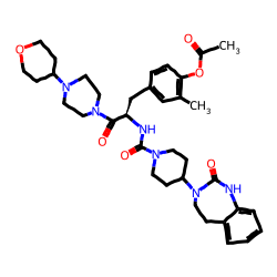 CC(=O)Oc1ccc(C[C@@H](NC(=O)N2CCC(N3CCc4ccccc4NC3=O)CC2)C(=O)N2CCN(C3CCOCC3)CC2)cc1C